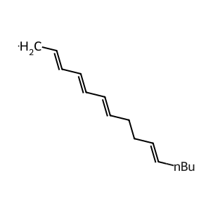 [CH2]/C=C/C=C/C=C/CC/C=C/CCCC